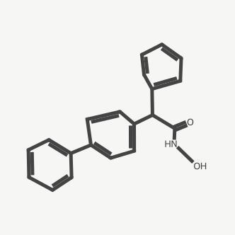 O=C(NO)C(c1ccccc1)c1ccc(-c2ccccc2)cc1